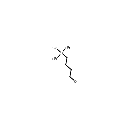 CCC[Si](CCC)(CCC)CCCC[O]